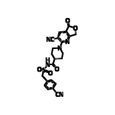 N#Cc1ccc(CS(=O)(=O)NC(=O)C2CCN(c3nc4c(cc3C#N)C(=O)OC4)CC2)cc1